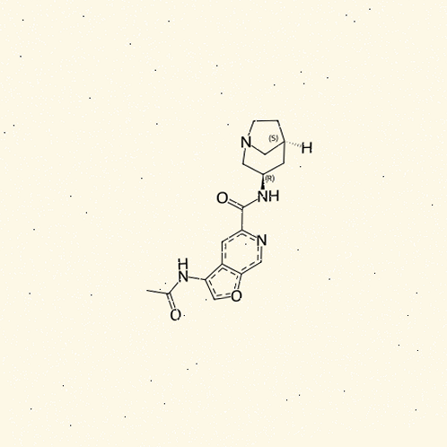 CC(=O)Nc1coc2cnc(C(=O)N[C@@H]3C[C@@H]4CCN(C4)C3)cc12